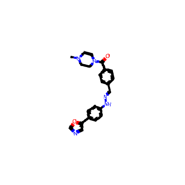 CN1CCN(C(=O)c2ccc(C=NNc3ccc(-c4cnco4)cc3)cc2)CC1